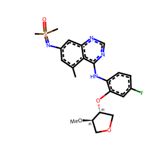 CO[C@@H]1COC[C@H]1Oc1cc(F)ccc1Nc1ncnc2cc(N=S(C)(C)=O)cc(C)c12